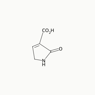 O=C(O)C1=CCNC1=O